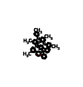 Cc1ccc(N2c3cc(C)cc4c3P3(=S)c5c2cc(C)cc5N(c2ccc(C)cc2)c2c5c(cc(c23)N4c2ccc(C)cc2)C(c2ccccc2)(c2ccccc2)c2ccccc2-5)cc1